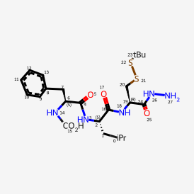 CC(C)C[C@H](NC(=O)[C@H](Cc1ccccc1)NC(=O)O)C(=O)N[C@@H](CSSC(C)(C)C)C(=O)NN